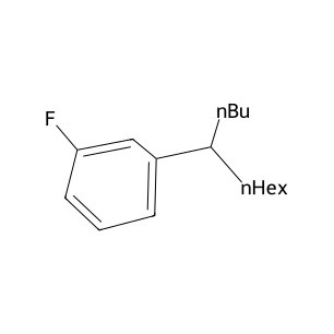 CCCCCCC(CCCC)c1cccc(F)c1